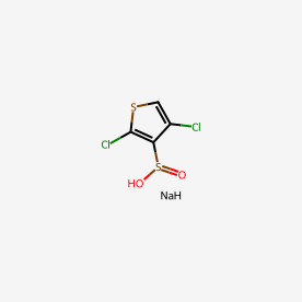 O=S(O)c1c(Cl)csc1Cl.[NaH]